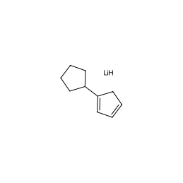 C1=CCC(C2CCCC2)=C1.[LiH]